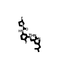 CC(C)CC1=C/C(=C/Nc2cc(NC(=O)N3CCC(F)C3)ccc2F)C(=N)N=C1